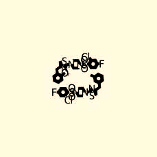 COc1ccccc1Cc1csc(N2CCN(S(=O)(=O)c3ccc(F)cc3Cl)CC2)n1.Cc1cccc(Cc2csc(N3CCN(S(=O)(=O)c4ccc(F)cc4Cl)CC3)n2)c1